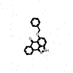 O=C1c2ccccc2-c2n[nH]c3ccc(OCc4ccccc4)c1c23